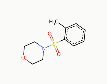 Cc1ccccc1S(=O)(=O)N1CCOCC1